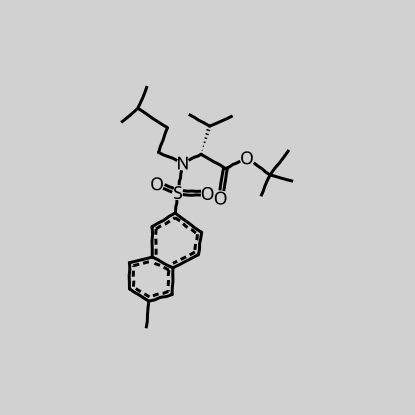 Cc1ccc2cc(S(=O)(=O)N(CCC(C)C)[C@@H](C(=O)OC(C)(C)C)C(C)C)ccc2c1